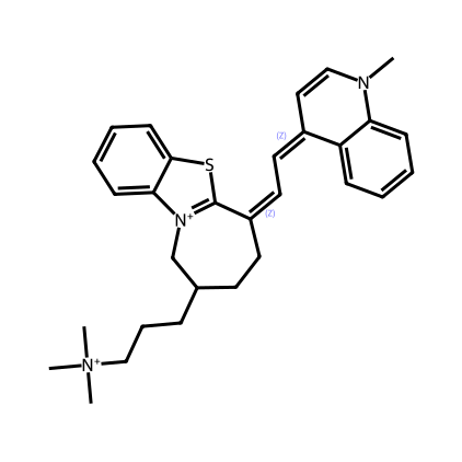 CN1C=C/C(=C/C=C2/CCC(CCC[N+](C)(C)C)C[n+]3c2sc2ccccc23)c2ccccc21